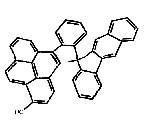 CC1(c2ccccc2-c2cc3ccc(O)c4ccc5cccc2c5c34)c2ccccc2-c2cc3ccccc3cc21